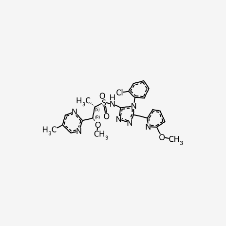 COc1cccc(-c2nnc(NS(=O)(=O)[C@@H](C)[C@H](OC)c3ncc(C)cn3)n2-c2ccccc2Cl)n1